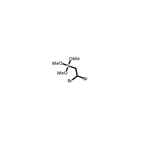 CO[Si](CC(Br)Br)(OC)OC